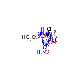 CCn1nc(C)cc1C(=O)Nc1nc2cc(C(=O)O)ccc2n1C/C=C/Cn1c(NC(O)c2cc(C)nn2CC)nc2cc(C(N)=O)ccc21